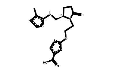 Cc1ccsc1NC[C@H]1CCC(=O)N1CCSc1nc(C(=O)O)cs1